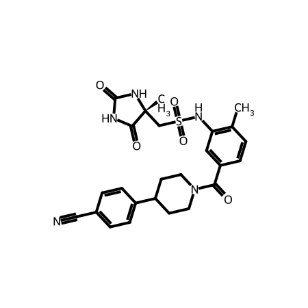 Cc1ccc(C(=O)N2CCC(c3ccc(C#N)cc3)CC2)cc1NS(=O)(=O)C[C@@]1(C)NC(=O)NC1=O